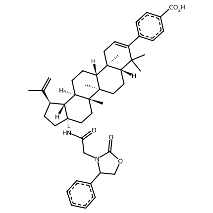 C=C(C)[C@@H]1CC[C@]2(NC(=O)CN3C(=O)OCC3c3ccccc3)CC[C@]3(C)[C@H](CC[C@@H]4[C@@]5(C)CC=C(c6ccc(C(=O)O)cc6)C(C)(C)[C@@H]5CC[C@]43C)[C@@H]12